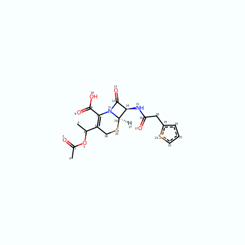 CC(=O)OC(C)C1=C(C(=O)O)N2C(=O)[C@@H](NC(=O)Cc3cccs3)[C@H]2SC1